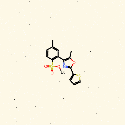 CCOS(=O)(=O)c1ccc(C)cc1-c1nc(-c2cccs2)oc1C